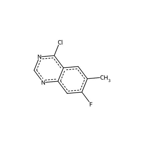 Cc1cc2c(Cl)ncnc2cc1F